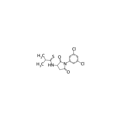 CC(C)C(=S)NC1CC(=O)N(c2cc(Cl)cc(Cl)c2)C1=O